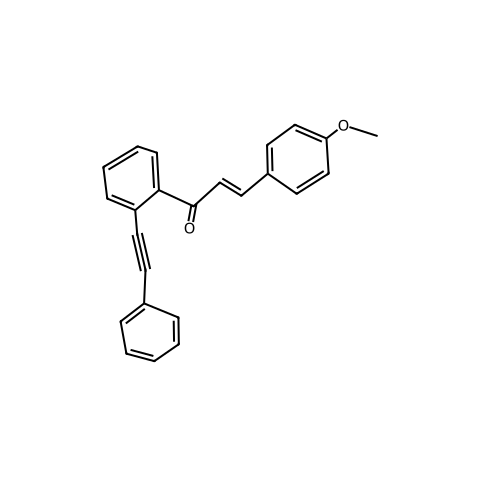 COc1ccc(/C=C/C(=O)c2ccccc2C#Cc2ccccc2)cc1